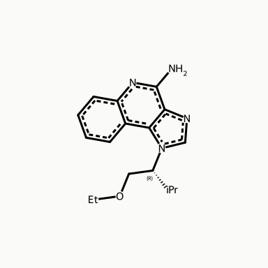 CCOC[C@@H](C(C)C)n1cnc2c(N)nc3ccccc3c21